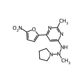 Cc1nc(NN(C)N2CCCC2)cc(-c2ccc([N+](=O)[O-])o2)n1